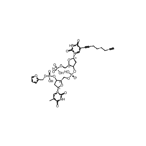 C#CCCCCC#Cc1cn([C@H]2CC(OP(=O)(O)OC[C@H]3O[C@@H](n4cc(C)c(=O)[nH]c4=O)CC3OP(=O)(O)OCc3ccco3)[C@@H](COP(=O)(O)O)O2)c(=O)[nH]c1=O